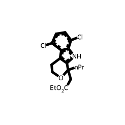 CCCC1(CC(=O)OCC)OCCc2c1[nH]c1c(Cl)ccc(Cl)c21